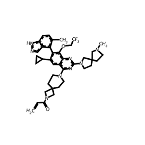 C=CC(=O)N1CC2(CCN(c3nc(N4CCC5(CCN(C)C5)C4)nc4c(OCC(F)(F)F)c(-c5c(C)ccc6[nH]ncc56)c(C5CC5)cc34)CC2)C1